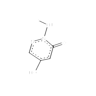 O=c1cc(O)cnn1PI